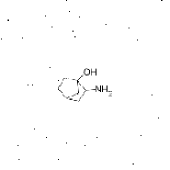 NC1CC2CCC1(O)C2